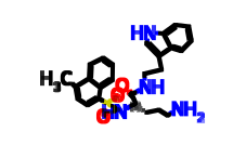 Cc1ccc(S(=O)(=O)N[C@@H](CCCN)C(=O)NCCc2c[nH]c3ccccc23)c2ccccc12